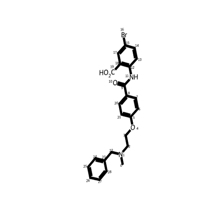 CN(CCOc1ccc(C(=O)Nc2ccc(Br)cc2C(=O)O)cc1)Cc1ccccc1